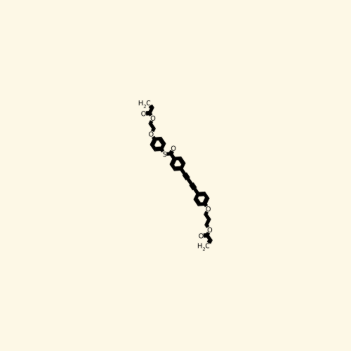 C=CC(=O)OCCCOc1ccc(C#CC#Cc2ccc(C(=O)Sc3ccc(OCCOC(=O)C=C)cc3)cc2)cc1